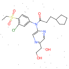 CCS(=O)(=O)c1ccc(N(C(=O)CCC2CCCC2)c2cnc([C@H](O)CO)cn2)cc1Cl